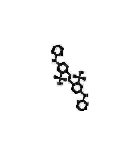 O=S(=O)(O)c1cc(Nc2ncccn2)ccc1C=Cc1ccc(Nc2ncccn2)cc1S(=O)(=O)O